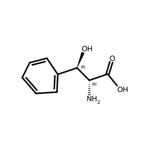 N[C@@H](C(=O)O)[C@H](O)c1ccccc1